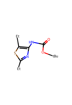 CCc1nc(NC(=O)OC(C)(C)C)c(CC)s1